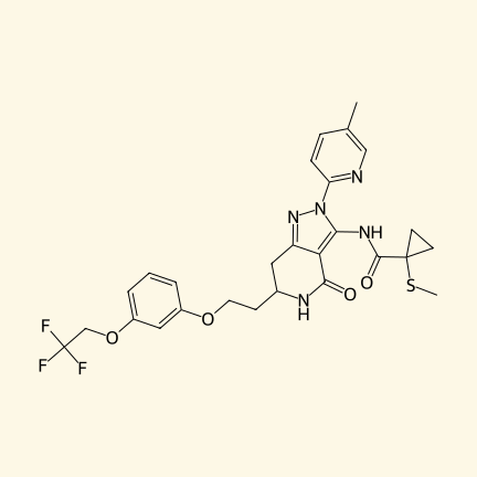 CSC1(C(=O)Nc2c3c(nn2-c2ccc(C)cn2)CC(CCOc2cccc(OCC(F)(F)F)c2)NC3=O)CC1